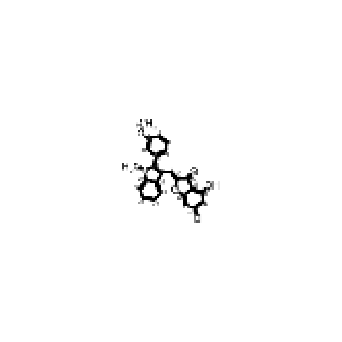 COc1cccc(-c2c(C=C3Oc4cc(O)cc(O)c4C3=O)c3ccccc3n2C)c1